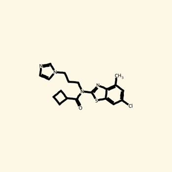 Cc1cc(Cl)cc2sc(N(CCCn3ccnc3)C(=O)C3CCC3)nc12